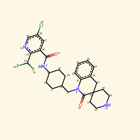 O=C(NC1CCC(CN2C(=O)C3(CCNCC3)Cc3ccccc32)CC1)c1cc(Cl)cnc1C(F)F